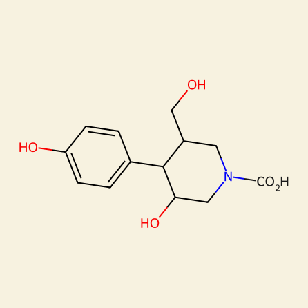 O=C(O)N1CC(O)C(c2ccc(O)cc2)C(CO)C1